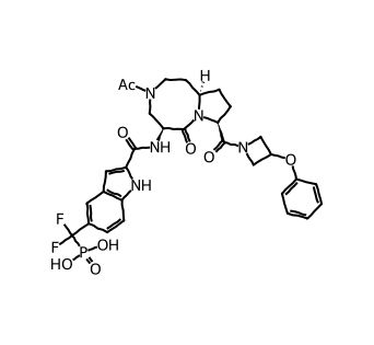 CC(=O)N1CC[C@H]2CC[C@@H](C(=O)N3CC(Oc4ccccc4)C3)N2C(=O)[C@@H](NC(=O)c2cc3cc(C(F)(F)P(=O)(O)O)ccc3[nH]2)C1